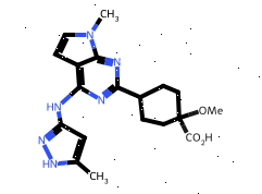 COC1(C(=O)O)CCC(c2nc(Nc3cc(C)[nH]n3)c3ccn(C)c3n2)CC1